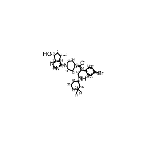 C[C@@H]1C[C@@H](O)c2ncnc(N3CCN(C(=O)C(CNC4CCCC(C)(C)C4)c4ccc(Br)cc4)CC3)c21